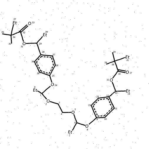 CCC(OCCOC(CC)Oc1ccc(C(CC)OC(=O)C(C)(C)CC)cc1)Oc1ccc(C(CC)OC(=O)C(C)(C)CC)cc1